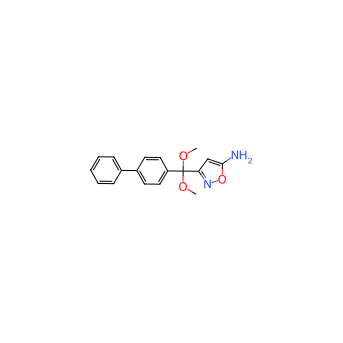 COC(OC)(c1ccc(-c2ccccc2)cc1)c1cc(N)on1